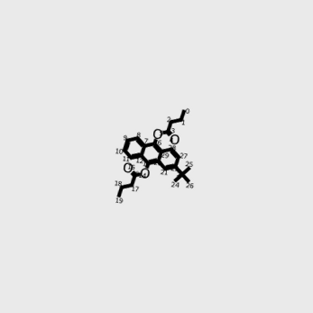 CCCC(=O)Oc1c2ccccc2c(OC(=O)CCC)c2cc(C(C)(C)C)ccc12